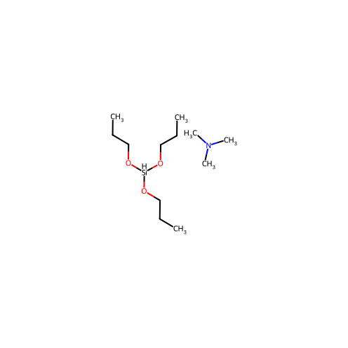 CCCO[SiH](OCCC)OCCC.CN(C)C